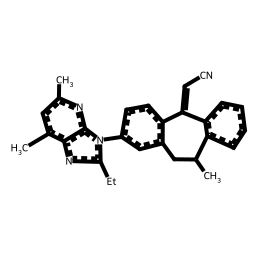 CCc1nc2c(C)cc(C)nc2n1-c1ccc2c(c1)CC(C)c1ccccc1C2=CC#N